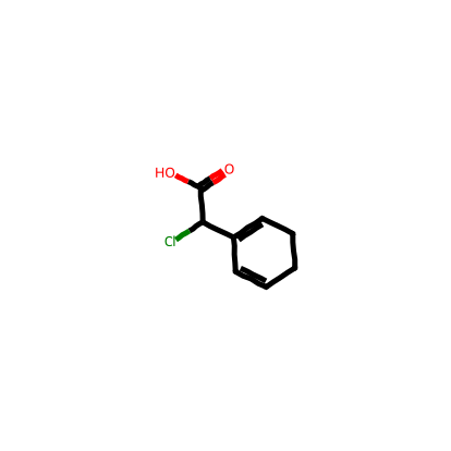 O=C(O)C(Cl)C1=CCCC=C1